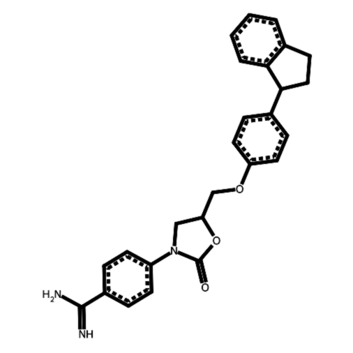 N=C(N)c1ccc(N2CC(COc3ccc(C4CCc5ccccc54)cc3)OC2=O)cc1